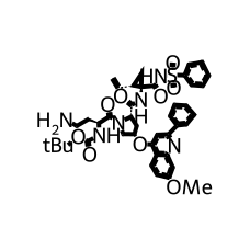 C=C[C@@H]1C[C@]1(NC(=O)[C@@H]1C[C@@H](Oc2cc(-c3ccccc3)nc3cc(OC)ccc23)CN1C(=O)[C@H](CCN)NC(=O)OC(C)(C)C)C(=O)NS(=O)(=O)c1ccccc1